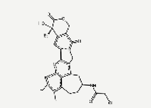 CC[C@@]1(O)C(=O)OCc2c1cc1n(c2=O)Cc2c-1nc1cc(F)c(C)c3c1c2CC(NC(=O)CO)CC3